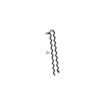 C=CCCCCCCCCCCCCCCCC.CCCCCCCCCCCCCCCCCC(=O)O.[Zn]